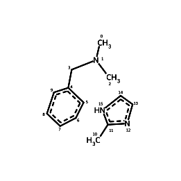 CN(C)Cc1ccccc1.Cc1ncc[nH]1